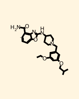 CCOc1cc(CN2CCC(Nc3nc4c(C(N)=O)[c]ccc4o3)CC2)cc(OCC(C)C)c1